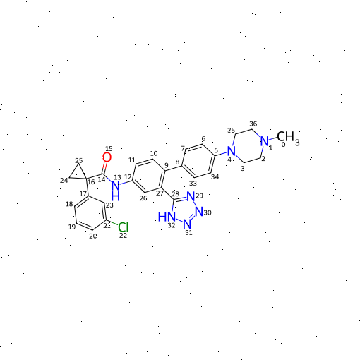 CN1CCN(c2ccc(-c3ccc(NC(=O)C4(c5cccc(Cl)c5)CC4)cc3-c3nnn[nH]3)cc2)CC1